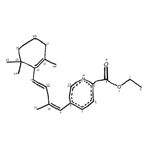 CCOC(=O)c1ccc(C=C(C)C=CC2=C(C)CCCC2(C)C)cn1